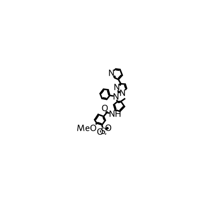 COc1ccc(C(=O)Nc2ccc(C)c(N(c3ccccc3)c3nccc(-c4cccnc4)n3)c2)cc1S(C)(=O)=O